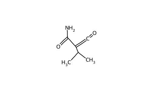 CC(C)C(=C=O)C(N)=O